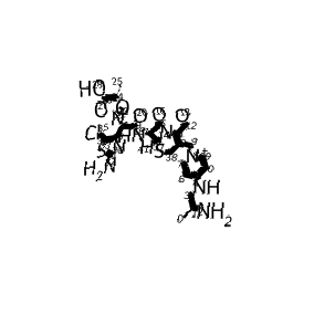 C[C@H](N)CNc1cc[n+](CC2=C(C=O)N3C(=O)[C@@H](NC(=O)/C(=N\O[C@@H](C)C(=O)O)c4nc(N)sc4Cl)[C@H]3SC2)cc1